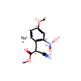 COC(=O)C(C#N)c1ccc(OC)cc1[N+](=O)[O-].[Na+]